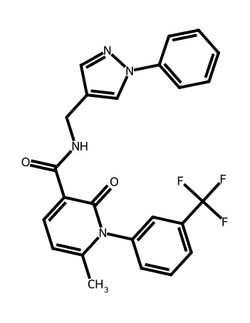 Cc1ccc(C(=O)NCc2cnn(-c3ccccc3)c2)c(=O)n1-c1cccc(C(F)(F)F)c1